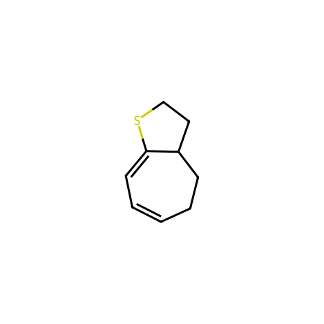 C1=CCCC2CCSC2=C1